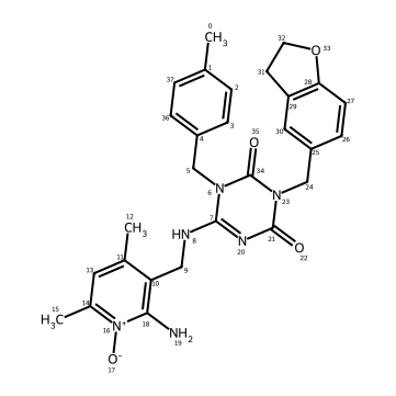 Cc1ccc(Cn2c(NCc3c(C)cc(C)[n+]([O-])c3N)nc(=O)n(Cc3ccc4c(c3)CCO4)c2=O)cc1